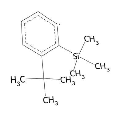 CC(C)(C)c1ccc[c]c1[Si](C)(C)C